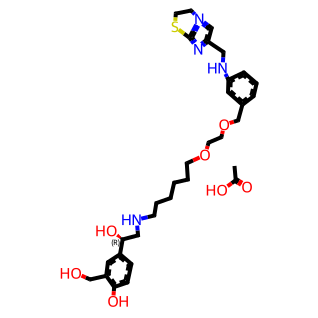 CC(=O)O.OCc1cc([C@@H](O)CNCCCCCCOCCOCc2cccc(NCc3cn4c(n3)SCC4)c2)ccc1O